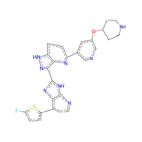 Fc1ccc(-c2ccnc3[nH]c(-c4n[nH]c5ccc(-c6cncc(OC7CCNCC7)c6)nc45)nc23)s1